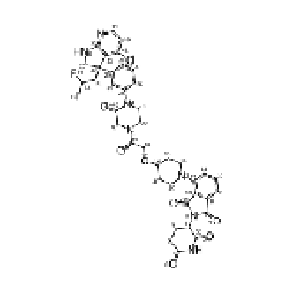 O=C1CCC(N2C(=O)c3cccc(N4CCC(OCC(=O)N5CCN(c6cccc(C7(CC(F)F)CNc8nccc(Cl)c87)c6)C(=O)C5)CC4)c3C2=O)C(=O)N1